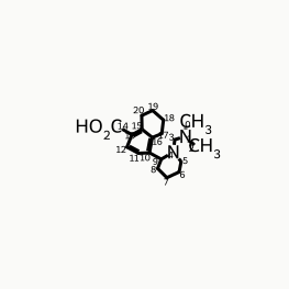 CN(C)CN1CCCCC1c1ccc(C(=O)O)c2c1CCCC2